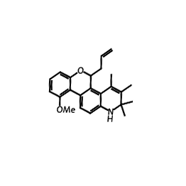 C=CCC1Oc2cccc(OC)c2-c2ccc3c(c21)C(C)=C(C)C(C)(C)N3